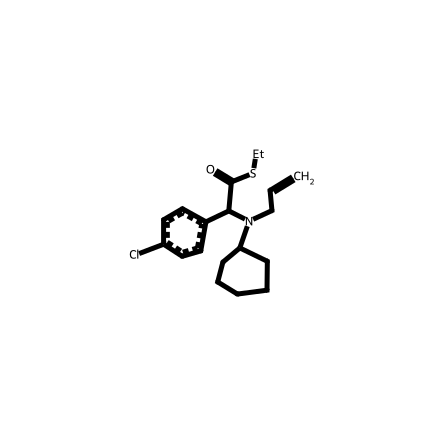 C=CCN(C1CCCCC1)C(C(=O)SCC)c1ccc(Cl)cc1